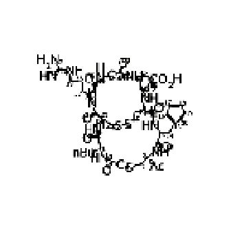 CCCC[C@@H]1NC(=O)CSC[C@@H](C(C)=O)NC(=O)C(Cc2ccccc2)NC(=O)[C@@H]2CSSC[C@H](NC1=O)C(=O)N[C@@H](CCCNC(=N)N)C(=O)NCC(=O)N[C@@H](CC(=O)O)C(=O)N2